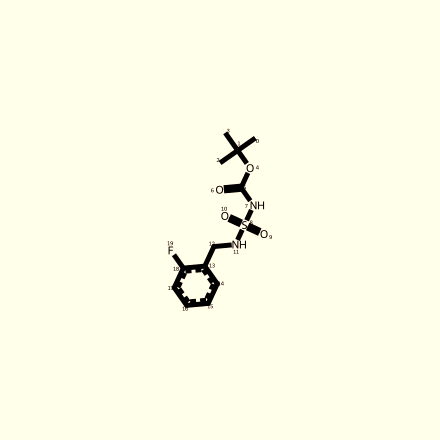 CC(C)(C)OC(=O)NS(=O)(=O)NCc1ccc[c]c1F